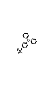 F[B-](F)(F)F.c1ccc([S+](c2ccccc2)c2ccccc2)cc1